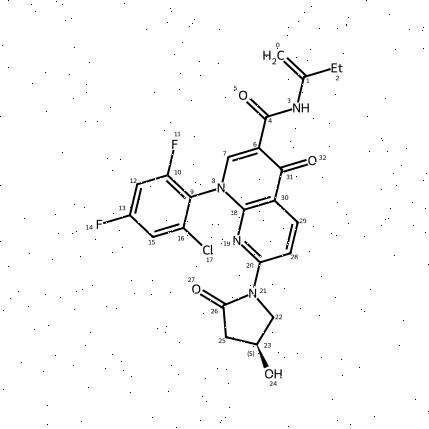 C=C(CC)NC(=O)c1cn(-c2c(F)cc(F)cc2Cl)c2nc(N3C[C@@H](O)CC3=O)ccc2c1=O